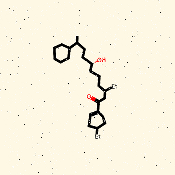 CCC1CC=C(C(=O)CC(CC)CCC[C@@H](O)CCC(C)C2CCCCC2)CC1